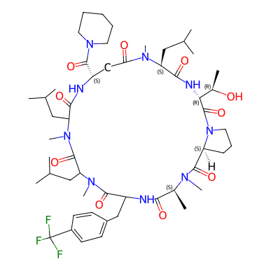 CC(C)CC1C(=O)N(C)C(CC(C)C)C(=O)N[C@H](C(=O)N2CCCCC2)CC(=O)N(C)[C@@H](CC(C)C)C(=O)N[C@H]([C@@H](C)O)C(=O)N2CCC[C@H]2C(=O)N(C)[C@@H](C)C(=O)NC(Cc2ccc(C(F)(F)F)cc2)C(=O)N1C